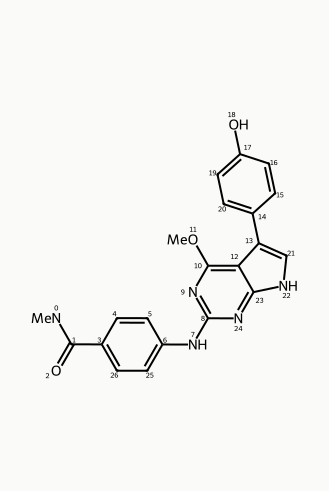 CNC(=O)c1ccc(Nc2nc(OC)c3c(-c4ccc(O)cc4)c[nH]c3n2)cc1